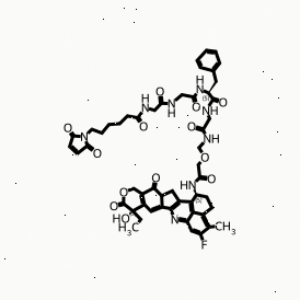 CC[C@@]1(O)C(=O)OCC2=C1C=C1c3nc4cc(F)c(C)c5c4c(c3CC1C2=O)[C@@H](NC(=O)COCNC(=O)CNC(=O)[C@H](Cc1ccccc1)NC(=O)CNC(=O)CNC(=O)CCCCCN1C(=O)C=CC1=O)CC5